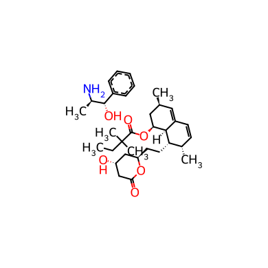 CCC(C)(C)C(=O)O[C@H]1C[C@@H](C)C=C2C=C[C@H](C)[C@H](CC[C@@H]3C[C@@H](O)CC(=O)O3)[C@H]21.C[C@@H](N)[C@@H](O)c1ccccc1